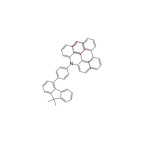 CC1(C)c2ccccc2-c2c(-c3ccc(N(c4ccccc4-c4cccc5cccc(-c6ccccc6)c45)c4cccc5ccccc45)cc3)cccc21